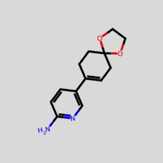 Nc1ccc(C2=CCC3(CC2)OCCO3)cn1